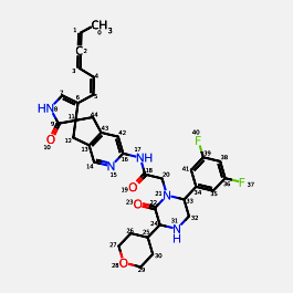 CC=C=C/C=C\C1=CNC(=O)C12Cc1cnc(NC(=O)CN3C(=O)C(C4CCOCC4)NCC3c3cc(F)cc(F)c3)cc1C2